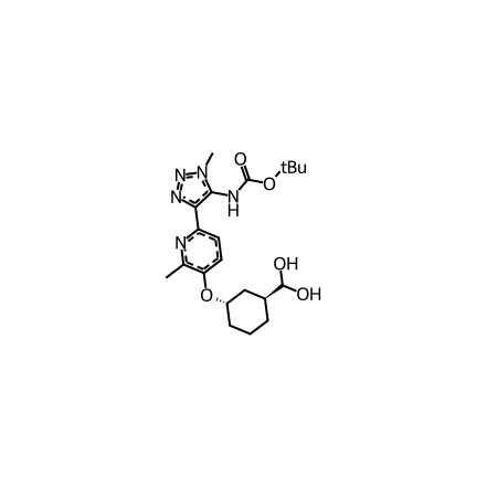 Cc1nc(-c2nnn(C)c2NC(=O)OC(C)(C)C)ccc1O[C@H]1CCC[C@H](C(O)O)C1